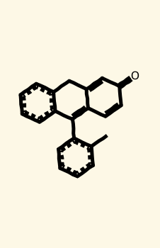 Cc1ccccc1C1=C2C=CC(=O)C=C2Cc2ccccc21